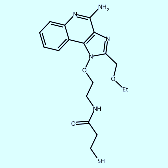 CCOCc1nc2c(N)nc3ccccc3c2n1OCCNC(=O)CCS